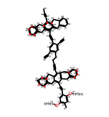 C#Cc1cc(CCC#Cc2c3c(c(C#Cc4cc(OCCCCCC)c(C)cc4OCCCCCC)c4c2C2c5ccccc5C4c4ccccc42)C2c4ccccc4C3c3ccccc32)c(C#C)cc1C#Cc1c2c(c(C#CC)c3c1C1c4ccccc4C3c3ccccc31)C1c3ccccc3C2c2ccccc21